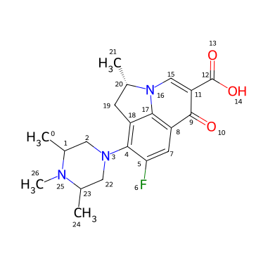 CC1CN(c2c(F)cc3c(=O)c(C(=O)O)cn4c3c2C[C@@H]4C)CC(C)N1C